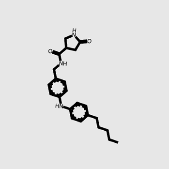 CCCCCc1ccc(Nc2ccc(CNC(=O)C3CNC(=O)C3)cc2)cc1